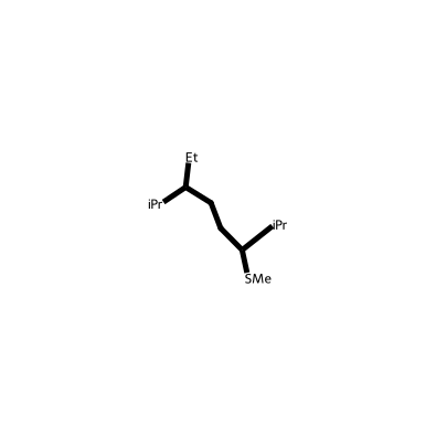 CCC(CCC(SC)C(C)C)C(C)C